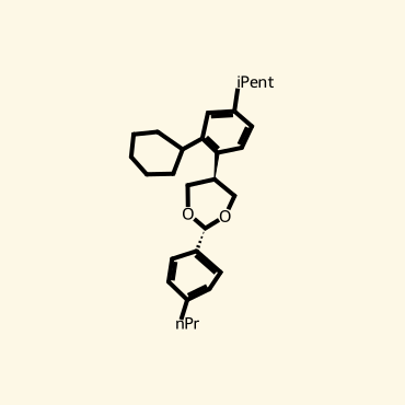 CCCc1ccc([C@H]2OC[C@H](c3ccc(C(C)CCC)cc3C3CCCCC3)CO2)cc1